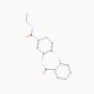 CCNC(=O)c1ccc2c(c1)NC(=O)c1ccccc1S2